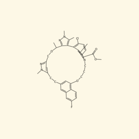 COC(=O)c1c(C)c2c3c(Cl)ccc2n1CCCOc1cc(cc2cc(F)ccc12)CCc1cc(nn1C)COC(C)c1nn(C)c(C)c1-3